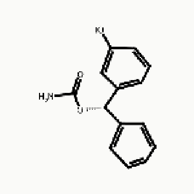 NC(=O)O[C@@H](c1ccccc1)c1cccc(O)c1